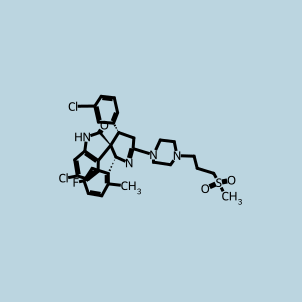 Cc1ccc(F)cc1[C@H]1N=C(N2CCN(CCCS(C)(=O)=O)CC2)C[C@@H](c2cccc(Cl)c2)[C@]12C(=O)Nc1cc(Cl)ccc12